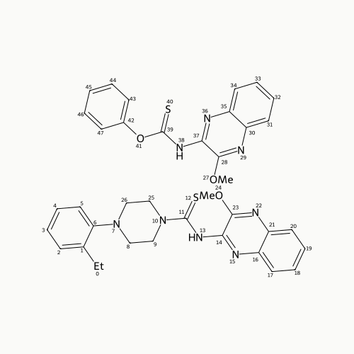 CCc1ccccc1N1CCN(C(=S)Nc2nc3ccccc3nc2OC)CC1.COc1nc2ccccc2nc1NC(=S)Oc1ccccc1